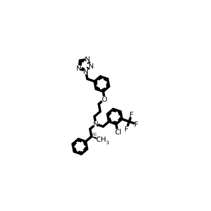 C[C@H](CN(CCCOc1cccc(Cn2ncnn2)c1)Cc1cccc(C(F)(F)F)c1Cl)c1ccccc1